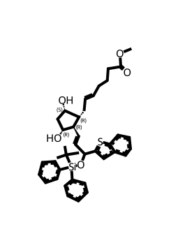 COC(=O)CCCC=CC[C@@H]1[C@@H](C=CC(O[Si](c2ccccc2)(c2ccccc2)C(C)(C)C)c2cc3ccccc3s2)[C@H](O)C[C@@H]1O